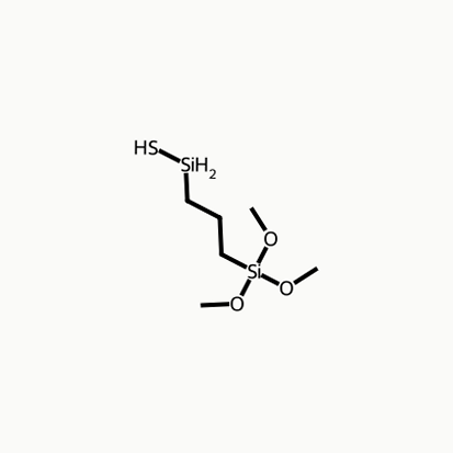 CO[Si](CCC[SiH2]S)(OC)OC